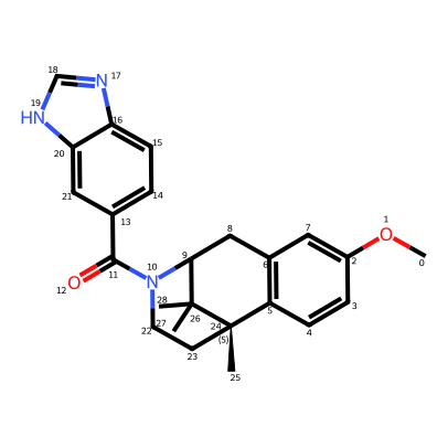 COc1ccc2c(c1)CC1N(C(=O)c3ccc4nc[nH]c4c3)CC[C@]2(C)C1(C)C